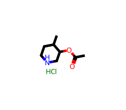 CC(=O)OC1CNCCC1C.Cl